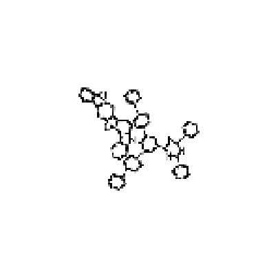 c1ccc(-c2ccc(-c3cc(-c4nc(-c5ccccc5)nc(-c5ccccc5)n4)cc(-c4ccc(-c5ccccc5)cc4)c3-n3c4ccccc4c4c5oc6cc7c(cc6c5ccc43)oc3ccccc37)cc2)cc1